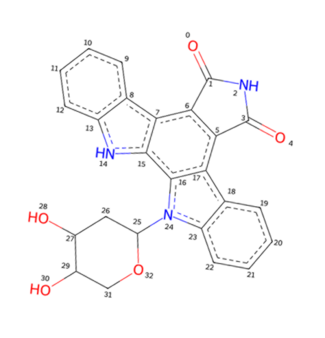 O=C1NC(=O)c2c1c1c3ccccc3[nH]c1c1c2c2ccccc2n1C1CC(O)C(O)CO1